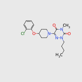 CCCCn1nc(N2CCC(Oc3ccccc3Cl)CC2)c(=O)n(C)c1=O